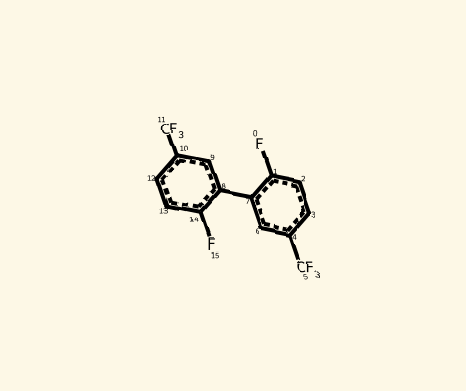 Fc1ccc(C(F)(F)F)cc1-c1cc(C(F)(F)F)ccc1F